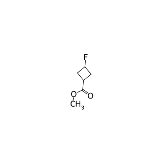 COC(=O)C1CC(F)C1